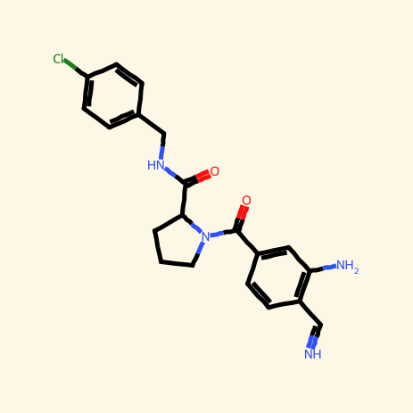 N=Cc1ccc(C(=O)N2CCCC2C(=O)NCc2ccc(Cl)cc2)cc1N